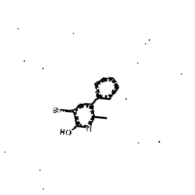 Cc1nc(O)c(Br)cc1-c1ccccc1